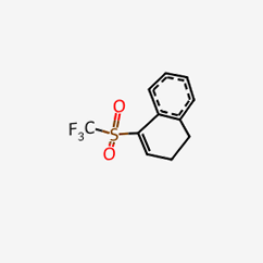 O=S(=O)(C1=CCCc2ccccc21)C(F)(F)F